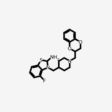 NC1Sc2cccc(F)c2N1CC1CCN(CC2COc3ccccc3O2)CC1